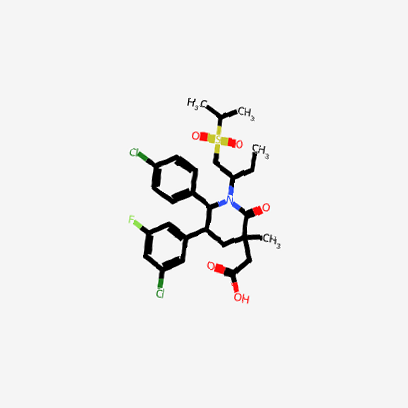 CCC(CS(=O)(=O)C(C)C)N1C(=O)C(C)(CC(=O)O)CC(c2cc(F)cc(Cl)c2)C1c1ccc(Cl)cc1